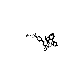 Cn1nccc1-c1cccc2nn3c(C4CCN(C(=O)OC(C)(C)C)CC4)cc(=O)[nH]c3c12